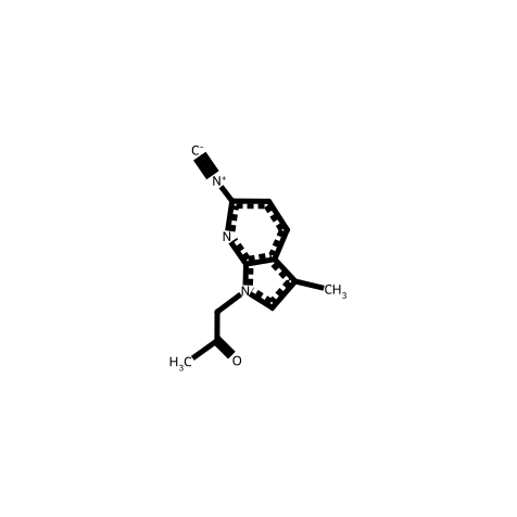 [C-]#[N+]c1ccc2c(C)cn(CC(C)=O)c2n1